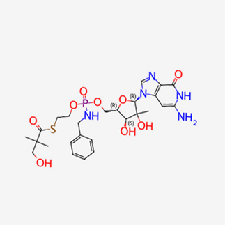 CC(C)(CO)C(=O)SCCOP(=O)(NCc1ccccc1)OC[C@H]1O[C@@H](n2cnc3c(=O)[nH]c(N)cc32)C(C)(O)[C@H]1O